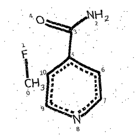 CF.NC(=O)c1ccncc1